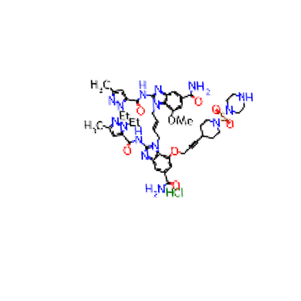 CCn1nc(C)cc1C(=O)Nc1nc2cc(C(N)=O)cc(OC)c2n1CC=CCn1c(NC(=O)c2cc(C)nn2CC)nc2cc(C(N)=O)cc(OCC#CC3CCN(S(=O)(=O)N4CCNCC4)CC3)c21.Cl